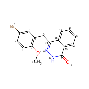 COc1ccc(Br)cc1Cc1n[nH]c(=O)c2ccccc12